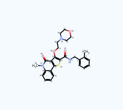 Cc1ccccc1CNC(=O)c1sc2c(c1OCCN1CCOCC1)c(=O)n(C)c1ccccc21